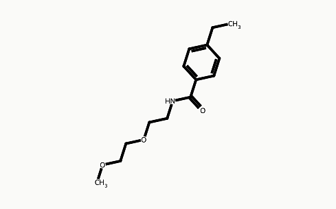 CCc1ccc(C(=O)NCCOCCOC)cc1